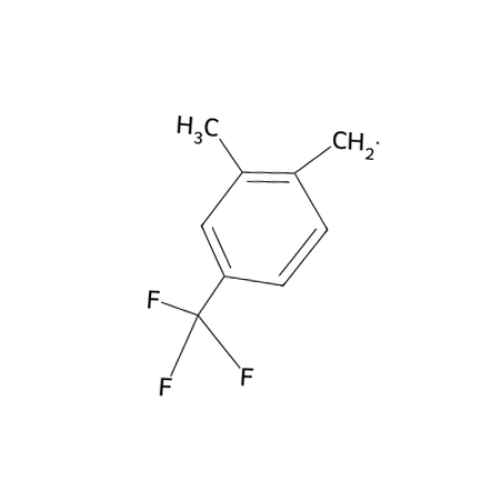 [CH2]c1ccc(C(F)(F)F)cc1C